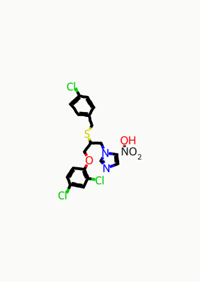 Clc1ccc(CSC(COc2ccc(Cl)cc2Cl)Cn2ccnc2)cc1.O=[N+]([O-])O